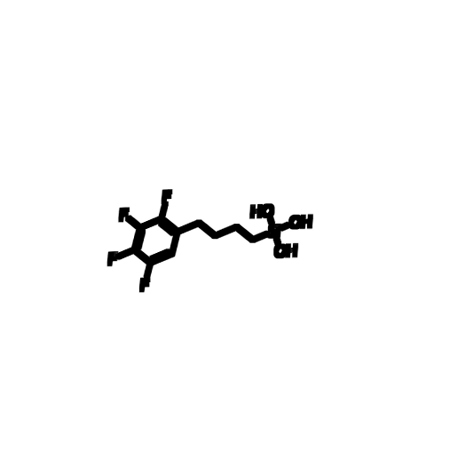 O[Si](O)(O)CCCCc1cc(F)c(F)c(F)c1F